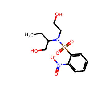 CCC(CO)N(CCO)S(=O)(=O)c1ccccc1[N+](=O)[O-]